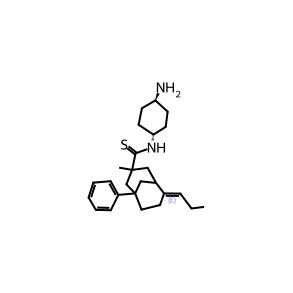 CC/C=C1\CCC2(c3ccccc3)CC1CC(C)(C(=S)N[C@H]1CC[C@H](N)CC1)C2